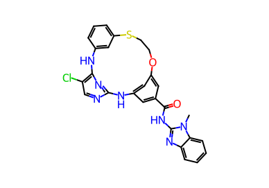 Cn1c(NC(=O)c2cc3cc(c2)OCCSc2cccc(c2)Nc2nc(ncc2Cl)N3)nc2ccccc21